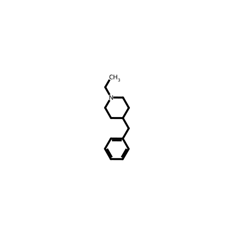 CCN1CCC(Cc2ccccc2)CC1